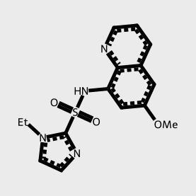 CCn1ccnc1S(=O)(=O)Nc1cc(OC)cc2cccnc12